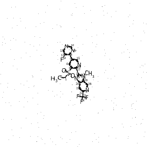 CCS(=O)(=O)c1cc(-c2ncncc2F)cnc1-c1nc2cc(C(F)(F)F)ncc2n1C